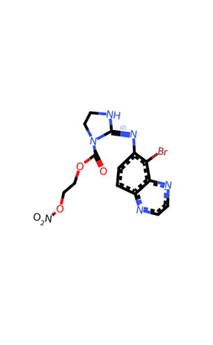 O=C(OCCO[N+](=O)[O-])N1CCN/C1=N/c1ccc2nccnc2c1Br